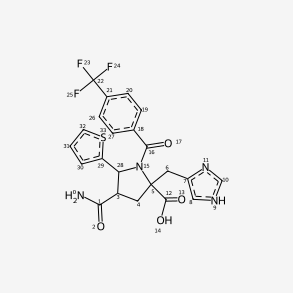 NC(=O)C1CC(Cc2c[nH]cn2)(C(=O)O)N(C(=O)c2ccc(C(F)(F)F)cc2)C1c1cccs1